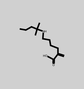 C=C(CCCCNC(C)(C)CCC)C(=O)O